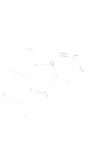 Cc1c(C(F)F)nc2cnccn2c1=O